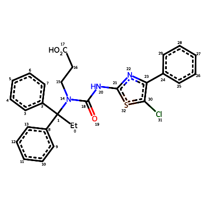 CCC(c1ccccc1)(c1ccccc1)N(CCC(=O)O)C(=O)Nc1nc(-c2ccccc2)c(Cl)s1